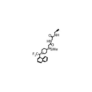 C#CCNC(=O)CNC(=O)CN(SC)C1CCN(C(c2cccc3ccccc23)C(F)(F)F)CC1